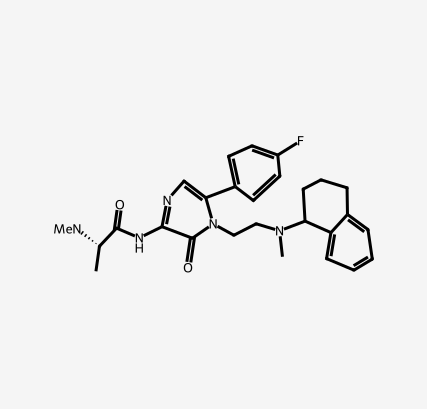 CN[C@@H](C)C(=O)Nc1ncc(-c2ccc(F)cc2)n(CCN(C)C2CCCc3ccccc32)c1=O